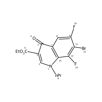 CCCn1cc(C(=O)OCC)c(=O)c2cc(F)c(Br)c(F)c21